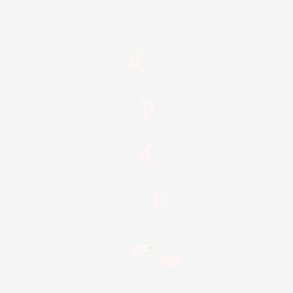 CCOCCOCCOCCOCCC(=O)O